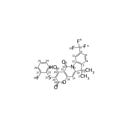 CC1(C)c2ccc(C(F)(F)F)cc2-n2c1cc1oc(=O)c(Sc3ccccc3F)c(O)c1c2=O